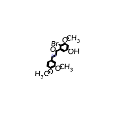 COc1ccc(/C=C/C(=O)c2cc(O)cc(OC)c2Br)cc1OC